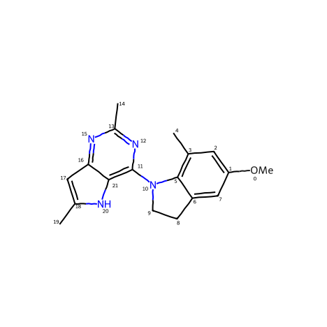 COc1cc(C)c2c(c1)CCN2c1nc(C)nc2cc(C)[nH]c12